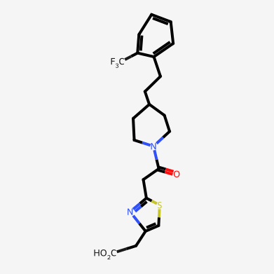 O=C(O)Cc1csc(CC(=O)N2CCC(CCc3ccccc3C(F)(F)F)CC2)n1